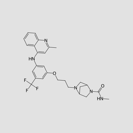 CNC(=O)N1CC2CC1CN2CCCOc1cc(Nc2cc(C)nc3ccccc23)cc(C(F)(F)F)c1